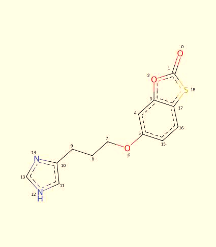 O=c1oc2cc(OCCCc3c[nH]cn3)ccc2s1